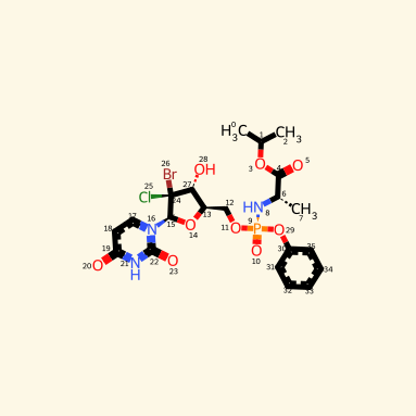 CC(C)OC(=O)[C@H](C)N[P@](=O)(OC[C@H]1O[C@@H](n2ccc(=O)[nH]c2=O)[C@](Cl)(Br)[C@@H]1O)Oc1ccccc1